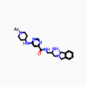 CC(=O)N1CCC(Nc2cc(C(=O)NCC(N)CN3Cc4ccccc4C3)ncn2)CC1